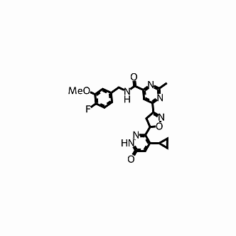 COc1cc(CNC(=O)c2cc(C3=NOC(c4n[nH]c(=O)cc4C4CC4)C3)nc(C)n2)ccc1F